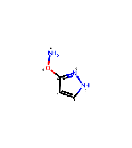 NOc1cc[nH]n1